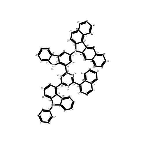 c1ccc(-n2c3ccccc3c3c(-c4nc(-c5cccc6ccccc56)nc(-c5cc(-n6c7cc8ccccc8cc7c7c8ccccc8ccc76)cc6c5oc5ccccc56)n4)cccc32)cc1